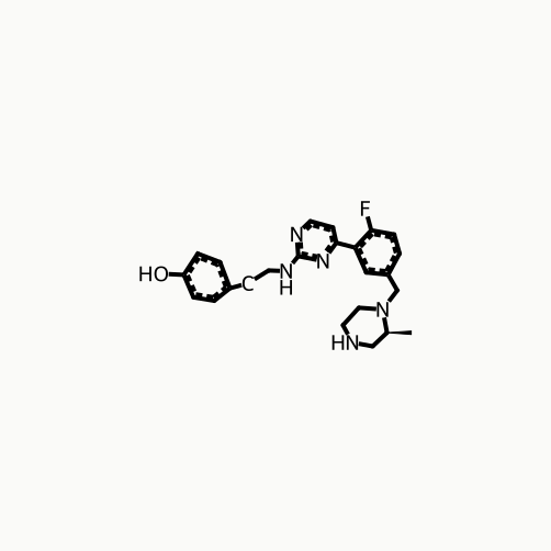 C[C@H]1CNCCN1Cc1ccc(F)c(-c2ccnc(NCCc3ccc(O)cc3)n2)c1